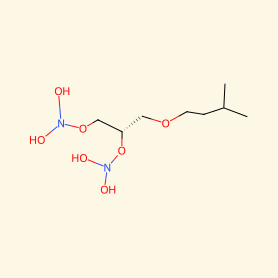 CC(C)CCOC[C@@H](CON(O)O)ON(O)O